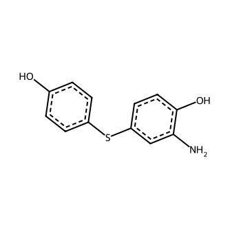 Nc1cc(Sc2ccc(O)cc2)ccc1O